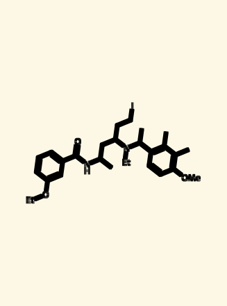 CCOc1cccc(C(=O)NC(C)CC(CCI)N(CC)C(C)c2ccc(OC)c(C)c2C)c1